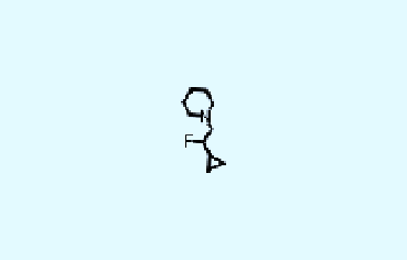 FC(CN1CCCCC1)C1CC1